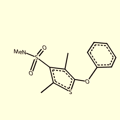 CNS(=O)(=O)c1c(C)sc(Oc2ccccc2)c1C